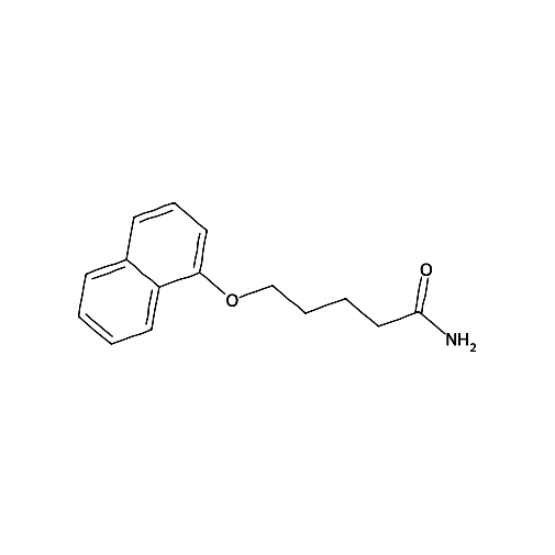 NC(=O)CCCCOc1cccc2ccccc12